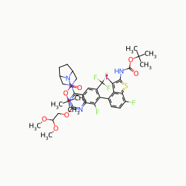 COC(COc1nc(N2CC3CCC(C2)N3C(=O)OC(C)(C)C)c2cc(C(F)(F)F)c(-c3ccc(F)c4sc(NC(=O)OC(C)(C)C)c(I)c34)c(F)c2n1)OC